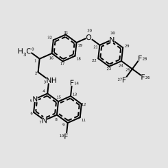 CC(CNc1ncnc2c(F)ccc(F)c12)c1ccc(Oc2ccc(C(F)(F)F)cn2)cc1